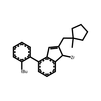 CC1(CC2=Cc3c(-c4ccccc4C(C)(C)C)cccc3[CH]2[Zr])CCCC1